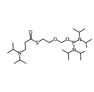 CC(C)N(CCC(=O)SCCOCOP(N(C(C)C)C(C)C)N(C(C)C)C(C)C)C(C)C